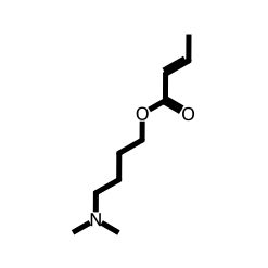 C/C=C/C(=O)OCCCCN(C)C